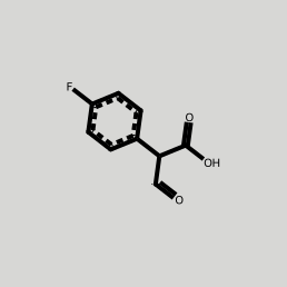 O=[C]C(C(=O)O)c1ccc(F)cc1